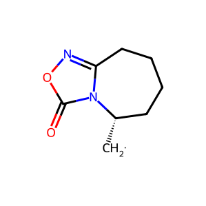 [CH2][C@H]1CCCCc2noc(=O)n21